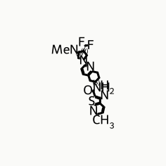 CN[C@@H]1CN(c2ccc3c(n2)CC[C@H](NC(=O)c2sc4nc(C)ccc4c2N)C3)C[C@H]1C(F)F